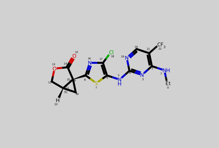 CCNc1nc(Nc2sc([C@@]34C[C@@H]3COC4=O)nc2Cl)ncc1C(F)(F)F